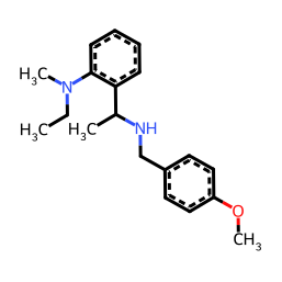 CCN(C)c1ccccc1C(C)NCc1ccc(OC)cc1